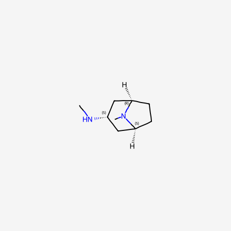 CN[C@@H]1C[C@H]2CC[C@@H](C1)N2C